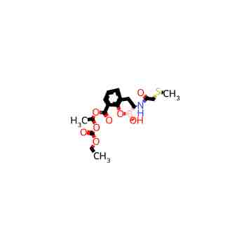 CCOC(=O)OC(C)OC(=O)c1cccc2c1OB(O)[C@@H](NC(=O)CSC)C2